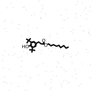 CCCCCCCCCOC(=O)CCc1cc(C(C)(C)C)c(O)c(C(C)(C)C)c1